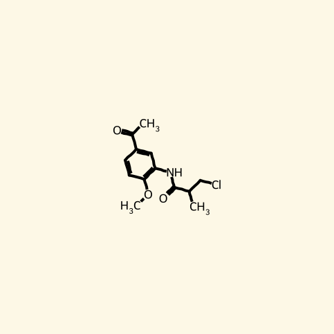 COc1ccc(C(C)=O)cc1NC(=O)C(C)CCl